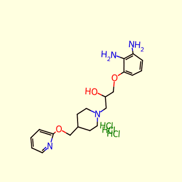 Cl.Cl.Cl.Nc1cccc(OCC(O)CN2CCC(COc3ccccn3)CC2)c1N